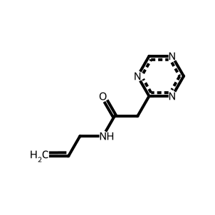 C=CCNC(=O)Cc1ncncn1